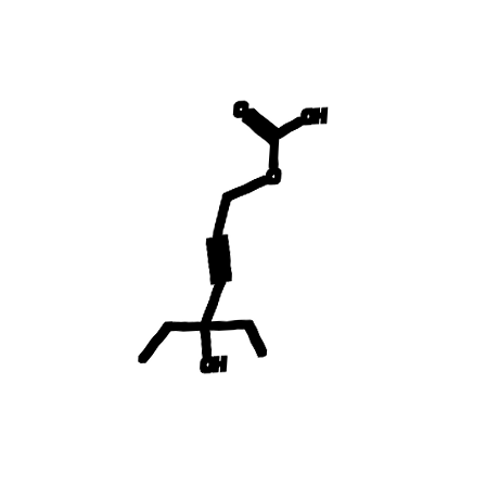 CCC(O)(C#CCOC(=O)O)CC